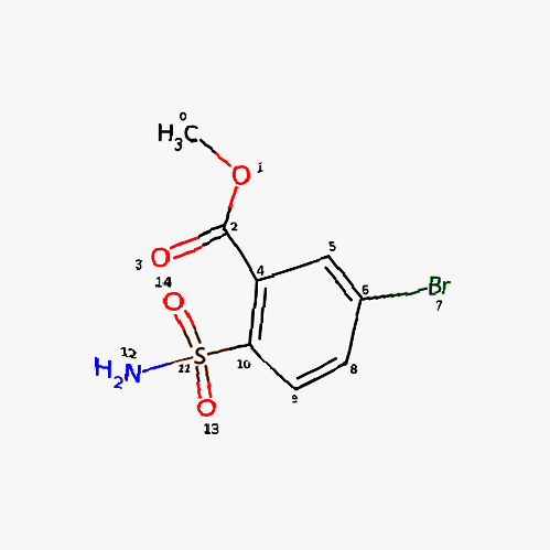 COC(=O)c1cc(Br)ccc1S(N)(=O)=O